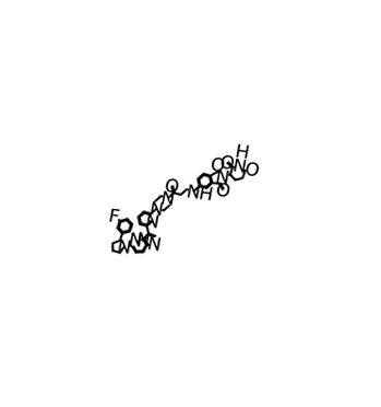 O=C1CCC(N2C(=O)c3ccc(NCCC(=O)N4CCN(c5cccc(-c6cnc7ccc(N8CCCC8c8cccc(F)c8)nn67)n5)CC4)cc3C2=O)C(=O)N1